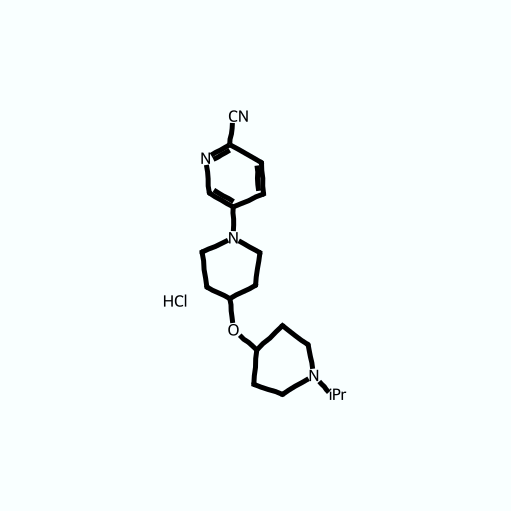 CC(C)N1CCC(OC2CCN(c3ccc(C#N)nc3)CC2)CC1.Cl